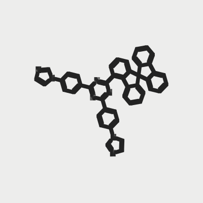 c1ccc2c(c1)-c1ccccc1C21c2ccccc2-c2c(-c3nc(-c4ccc(-n5ccnc5)cc4)nc(-c4ccc(-n5ccnc5)cc4)n3)cccc21